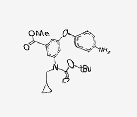 COC(=O)c1cc(Oc2ccc(N)cc2)cc(N(CC2CC2)C(=O)OC(C)(C)C)c1